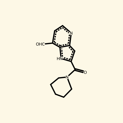 O=Cc1ccnc2cc(C(=O)N3CCCCC3)[nH]c12